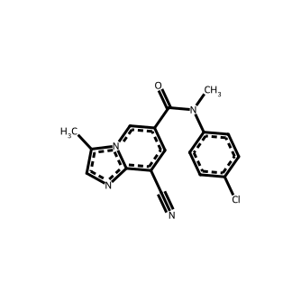 Cc1cnc2c(C#N)cc(C(=O)N(C)c3ccc(Cl)cc3)cn12